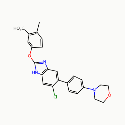 Cc1ccc(Oc2nc3cc(-c4ccc(N5CCOCC5)cc4)c(Cl)cc3[nH]2)cc1C(=O)O